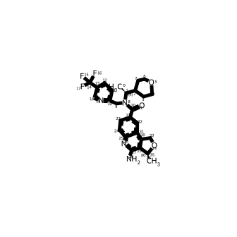 C[C@H](C1CCOCC1)N(Cc1ccc(C(F)(F)F)cn1)C(=O)c1ccc2nc(N)c3c(c2c1)CO[C@@H]3C